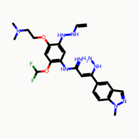 C=CNNc1cc(NC(=N)/C=C(\NN)c2ccc3c(cnn3C)c2)c(OC(F)F)cc1OCCN(C)C